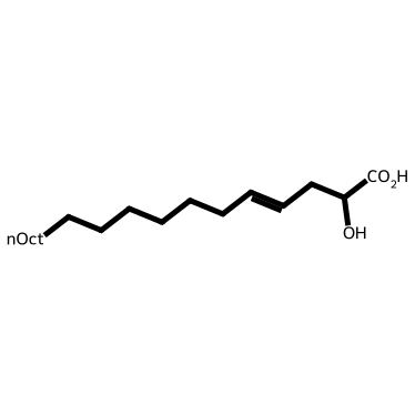 CCCCCCCCCCCCCCC=CCC(O)C(=O)O